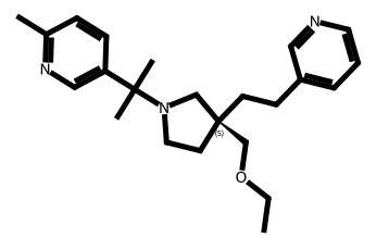 CCOC[C@@]1(CCc2cccnc2)CCN(C(C)(C)c2ccc(C)nc2)C1